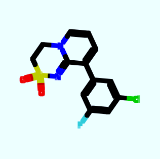 O=S1(=O)CCN2C=CC=C(c3cc(F)cc(Cl)c3)C2=N1